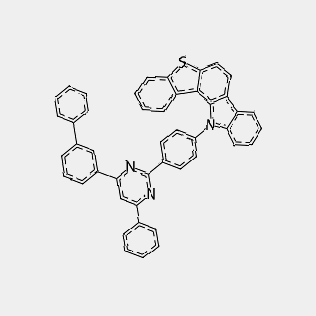 c1ccc(-c2cccc(-c3cc(-c4ccccc4)nc(-c4ccc(-n5c6ccccc6c6ccc7sc8ccccc8c7c65)cc4)n3)c2)cc1